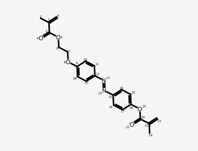 C=C(C)C(=O)OCCOc1ccc(N=Nc2ccc(OC(=O)C(=C)C)cc2)cc1